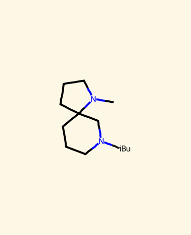 CCC(C)N1CCCC2(CCCN2C)C1